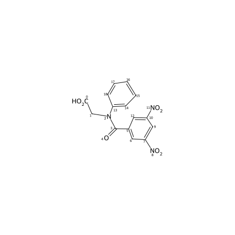 O=C(O)CN(C(=O)c1cc([N+](=O)[O-])cc([N+](=O)[O-])c1)c1ccccc1